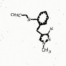 CC(=O)c1nn(C)cc1Cc1ccccc1SCC=O